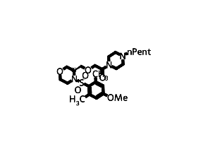 CCCCCN1CCN(C(=O)COC[C@@H]2COCCN2S(=O)(=O)c2c(C)cc(OC)cc2C)CC1